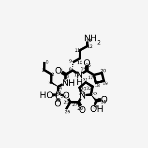 CCCC[C@@H](NC(=O)[C@H](CCCCN)NC(=O)C1CCC1)P(=O)(O)OC(C)C(=O)N1CCC[C@H]1C(=O)O